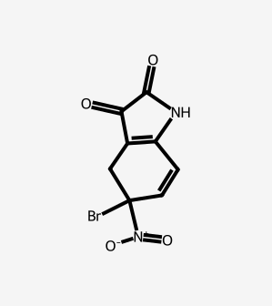 O=C1NC2=C(CC(Br)([N+](=O)[O-])C=C2)C1=O